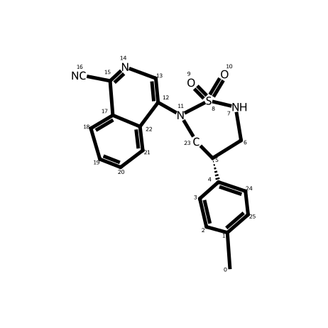 Cc1ccc([C@H]2CNS(=O)(=O)N(c3cnc(C#N)c4ccccc34)C2)cc1